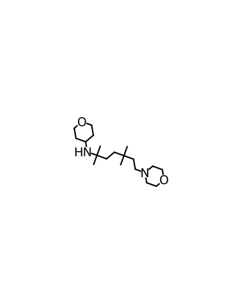 CC(C)(CCN1CCOCC1)CCC(C)(C)NC1CCOCC1